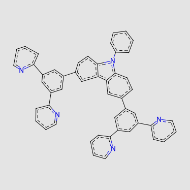 c1ccc(-n2c3ccc(-c4cc(-c5ccccn5)cc(-c5ccccn5)c4)cc3c3cc(-c4cc(-c5ccccn5)cc(-c5ccccn5)c4)ccc32)cc1